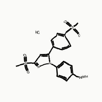 CNc1ccc(-n2nc(S(C)(=O)=O)cc2-c2ccc(S(C)(=O)=O)cc2)cc1.Cl